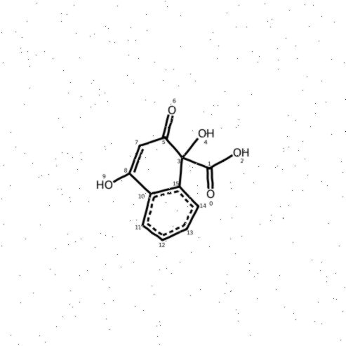 O=C(O)C1(O)C(=O)C=C(O)c2ccccc21